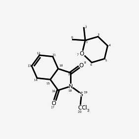 CC1(C)CCCCO1.O=C1C2CC=CCC2C(=O)N1SC(Cl)(Cl)Cl